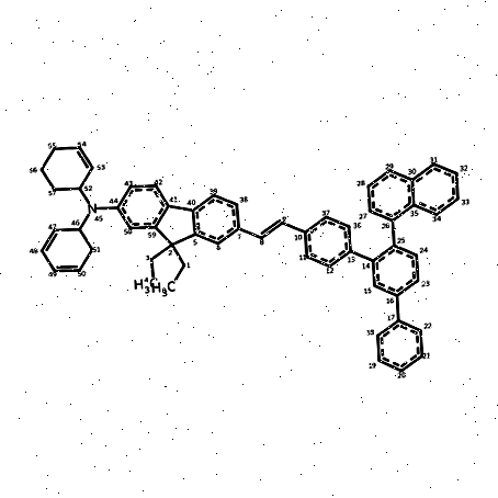 CCC1(CC)c2cc(/C=C/c3ccc(-c4cc(-c5ccccc5)ccc4-c4cccc5ccccc45)cc3)ccc2-c2ccc(N(C3C=CC=CC3)C3C=CCCC3)cc21